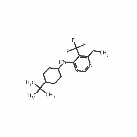 CCc1ncnc(NC2CCC(C(C)(C)C)CC2)c1C(F)(F)F